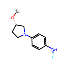 CCO[C@H]1CCN(c2ccc(NF)cc2)C1